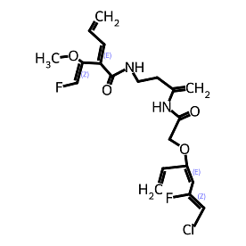 C=C/C=C(C(=O)NCCC(=C)NC(=O)CO/C(C=C)=C/C(F)=C/Cl)\C(=C\F)OC